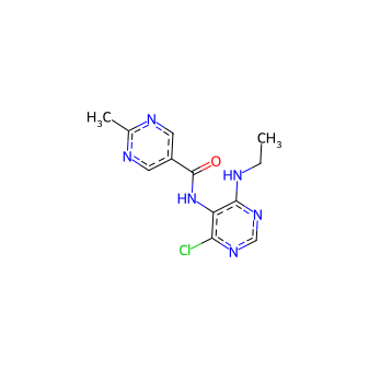 CCNc1ncnc(Cl)c1NC(=O)c1cnc(C)nc1